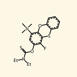 CCN(CC)C(=S)Oc1cc([Si](C)(C)C)c2c(c1F)Sc1ccccc1O2